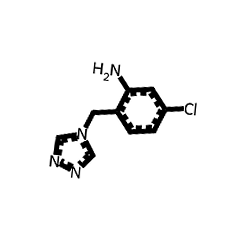 Nc1cc(Cl)ccc1Cn1cnnc1